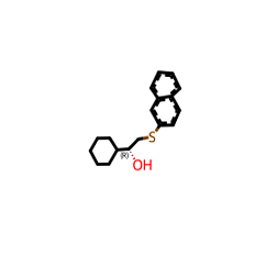 O[C@@H](CSc1ccc2ccccc2c1)C1CCCCC1